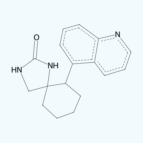 O=C1NCC2(CCCCC2c2cccc3ncccc23)N1